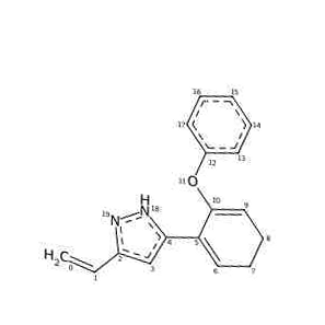 C=Cc1cc(C2=CCCC=C2Oc2ccccc2)[nH]n1